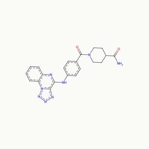 NC(=O)C1CCN(C(=O)c2ccc(Nc3nc4ccccc4n4nnnc34)cc2)CC1